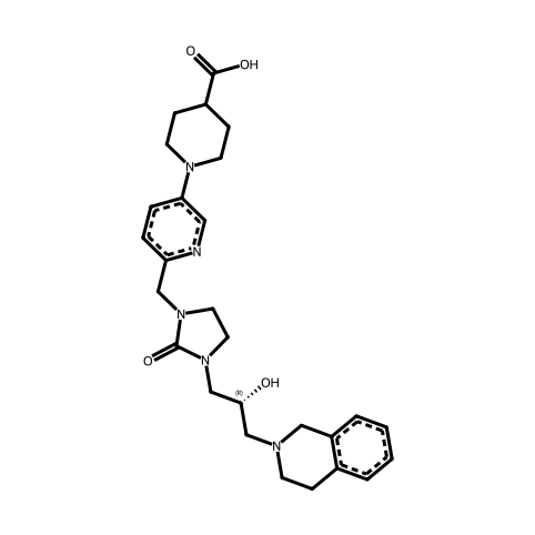 O=C(O)C1CCN(c2ccc(CN3CCN(C[C@H](O)CN4CCc5ccccc5C4)C3=O)nc2)CC1